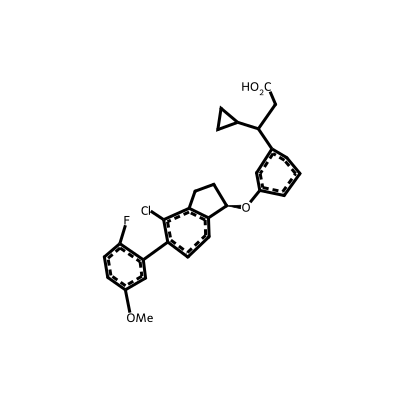 COc1ccc(F)c(-c2ccc3c(c2Cl)CC[C@H]3Oc2cccc(C(CC(=O)O)C3CC3)c2)c1